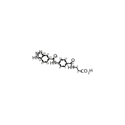 O=C(O)CCNC(=O)c1ccc(NC(=O)c2ccc3[nH]nnc3c2)cc1